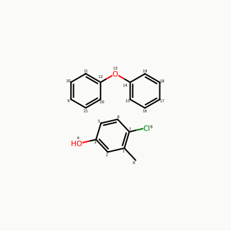 Cc1cc(O)ccc1Cl.c1ccc(Oc2ccccc2)cc1